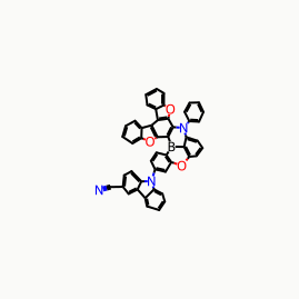 N#Cc1ccc2c(c1)c1ccccc1n2-c1ccc2c(c1)Oc1cccc3c1B2c1c(c2oc4ccccc4c2c2c1oc1ccccc12)N3c1ccccc1